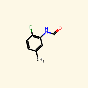 Cc1ccc(F)c(N[C]=O)c1